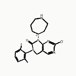 Cc1cccc(F)c1N1Cc2cnc(Cl)nc2N([C@@H]2CCCNCC2)C1=O